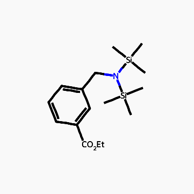 CCOC(=O)c1cccc(CN([Si](C)(C)C)[Si](C)(C)C)c1